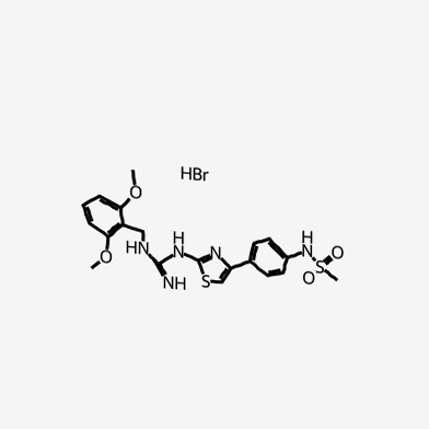 Br.COc1cccc(OC)c1CNC(=N)Nc1nc(-c2ccc(NS(C)(=O)=O)cc2)cs1